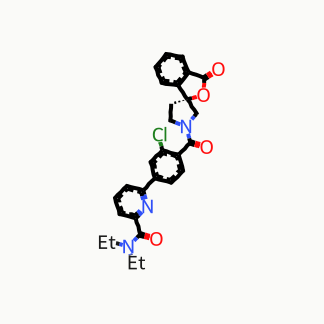 CCN(CC)C(=O)c1cccc(-c2ccc(C(=O)N3CC[C@@]4(C3)OC(=O)c3ccccc34)c(Cl)c2)n1